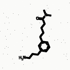 CN(C)C(=O)CCCCc1cccc(CCCN)c1